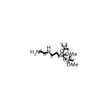 CO[Si](C)(C)O[Si](CCCNCCN)(OC)O[Si](C)(C)C